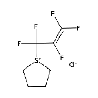 FC(F)=C(F)C(F)(F)[S+]1CCCC1.[Cl-]